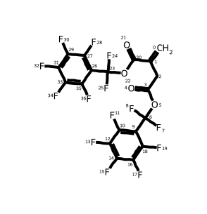 C=C(CC(=O)OC(F)(F)c1c(F)c(F)c(F)c(F)c1F)C(=O)OC(F)(F)c1c(F)c(F)c(F)c(F)c1F